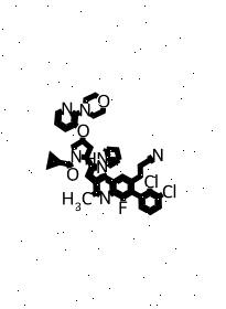 Cc1nc2c(F)c(-c3cccc(Cl)c3Cl)c(CCC#N)cc2c2c1cc(C1CC(Oc3cccnc3N3CCOCC3)CN1C(=O)C1CC1)n2C1C2CNC1C2